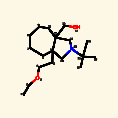 CCOCCC12CCCCCC1(CO)CN(C(C)(C)C)C2